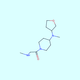 CNCC(=O)N1CCC(N(C)C2CCOC2)CC1